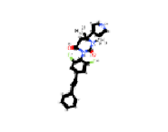 CN1C(=O)N(c2c(F)cc(C#Cc3ccccc3)cc2F)C(=O)CC1(C)c1ccncc1